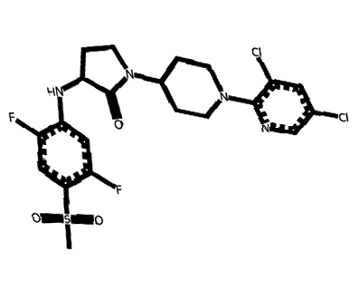 CS(=O)(=O)c1cc(F)c(NC2CCN(C3CCN(c4ncc(Cl)cc4Cl)CC3)C2=O)cc1F